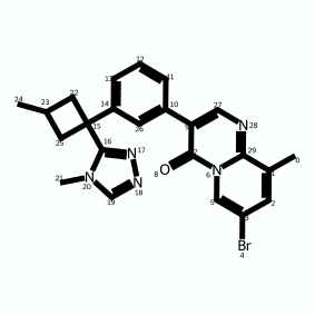 Cc1cc(Br)cn2c(=O)c(-c3cccc(C4(c5nncn5C)CC(C)C4)c3)cnc12